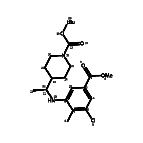 COC(=O)c1cc(Cl)c(C)c(N[C@@H](C)C2CCN(C(=O)OC(C)(C)C)CC2)c1